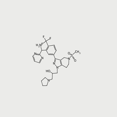 CS(=O)(=O)N1CCc2c(c(-c3ccc(C(F)(F)F)c(C(N)c4ncccn4)c3)nn2CC(O)CN2CCCC2)C1